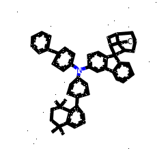 CC1(C)CCC(C)(C)c2c(-c3ccc(N(c4ccc(-c5ccccc5)cc4)c4ccc5c(c4)-c4ccccc4C54C5CC6CC7CC4C75C6)cc3)cccc21